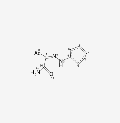 CC(=O)/C(=N/Nc1ccccc1)C(N)=O